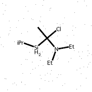 CCN(CC)C(C)(Cl)[SiH2]C(C)C